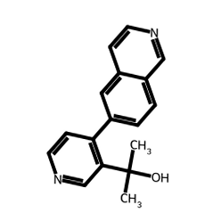 CC(C)(O)c1cnccc1-c1ccc2cnccc2c1